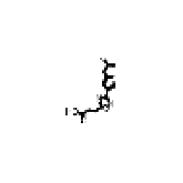 [CH2]C(C)Cc1cc(-c2noc(CCC(=O)O)n2)cs1